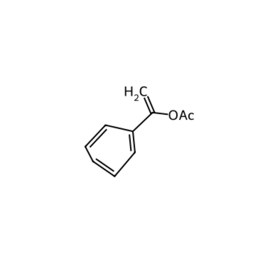 C=C(OC(C)=O)c1ccccc1